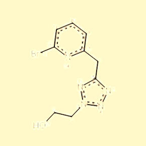 OCCn1nnc(Cc2cccc(Br)n2)n1